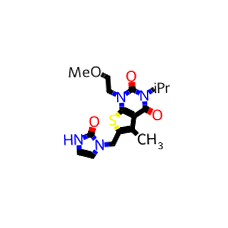 COCCn1c(=O)n(C(C)C)c(=O)c2c(C)c(Cn3cc[nH]c3=O)sc21